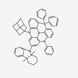 CC12CCCCC1(C)N(c1cc3c4c(c1)N(C15CC6CC7CC(C1)C765)c1cccc5c1B4c1c(cccc1[Si]5(c1ccccc1)c1ccccc1)N3c1ccccc1)c1ccccc12